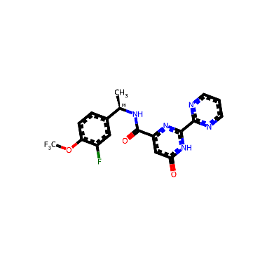 C[C@@H](NC(=O)c1cc(=O)[nH]c(-c2ncccn2)n1)c1ccc(OC(F)(F)F)c(F)c1